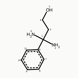 NC(N)(CCO)c1ccccc1